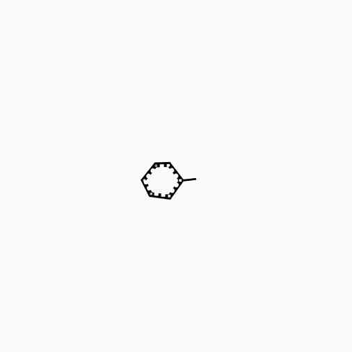 Cc1ccccc1.S